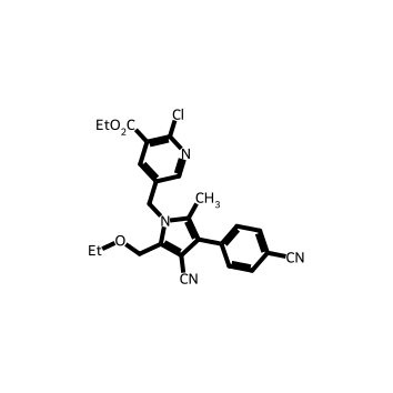 CCOCc1c(C#N)c(-c2ccc(C#N)cc2)c(C)n1Cc1cnc(Cl)c(C(=O)OCC)c1